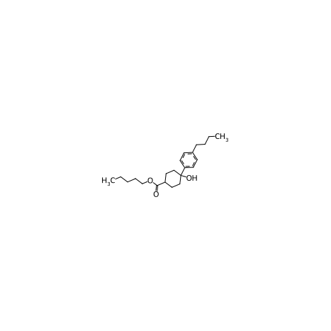 CCCCCOC(=O)C1CCC(O)(c2ccc(CCCC)cc2)CC1